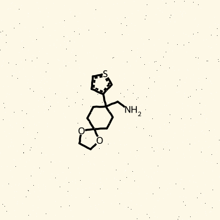 NCC1(c2ccsc2)CCC2(CC1)OCCO2